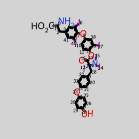 N[C@@H](Cc1cc(I)c(Oc2ccc(OC(=O)[C@](I)(Cc3ccc(Oc4ccc(O)cc4)cc3)N(I)I)c(I)c2)c(I)c1)C(=O)O